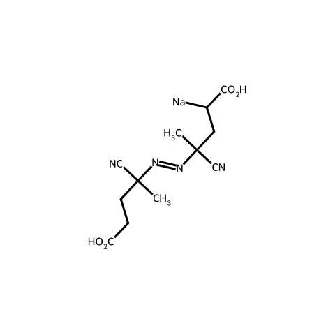 CC(C#N)(CCC(=O)O)N=NC(C)(C#N)C[CH]([Na])C(=O)O